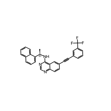 C[C@@H](Nc1ncnc2ccc(C#Cc3cccc(C(F)(F)F)c3)cc12)c1cccc2ccccc12